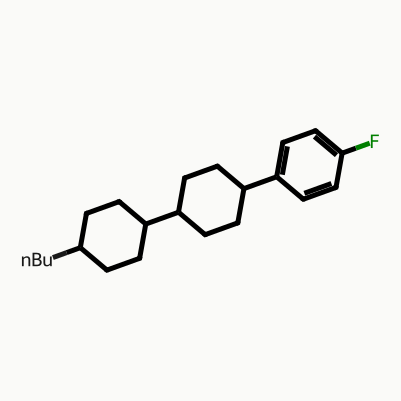 CCCCC1CCC(C2CCC(c3ccc(F)cc3)CC2)CC1